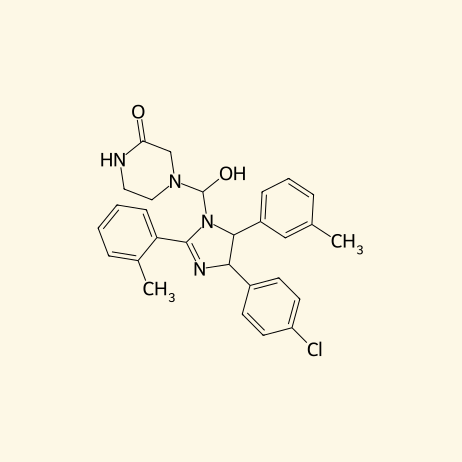 Cc1cccc(C2C(c3ccc(Cl)cc3)N=C(c3ccccc3C)N2C(O)N2CCNC(=O)C2)c1